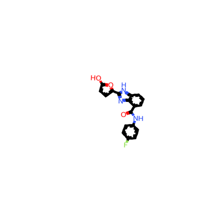 O=C(Nc1ccc(F)cc1)c1cccc2[nH]c(-c3ccc(O)o3)nc12